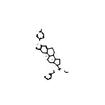 C[C@]12Cc3cnn(-c4ccc(F)nc4)c3C=C1CC[C@@H]1[C@@H]2[C@@H](O)C[C@@]2(C)[C@H]1CC[C@]2(OC(=O)c1ccco1)C(=O)SCF